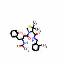 Cc1ccccc1CNC(=O)C1N(C(=O)[C@@H](O)[C@H](Cc2ccccc2)NC(=O)C(F)(F)F)CSC1(C)C